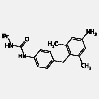 Cc1cc(N)cc(C)c1Cc1ccc(NC(=O)NC(C)C)cc1